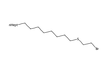 CCCCCCCCCCCCCCCSCCBr